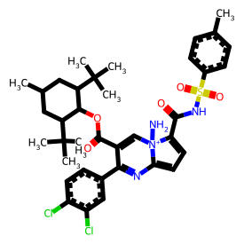 Cc1ccc(S(=O)(=O)NC(=O)C2=CC=C3N=C(c4ccc(Cl)c(Cl)c4)C(C(=O)OC4C(C(C)(C)C)CC(C)CC4C(C)(C)C)=C[N+]32N)cc1